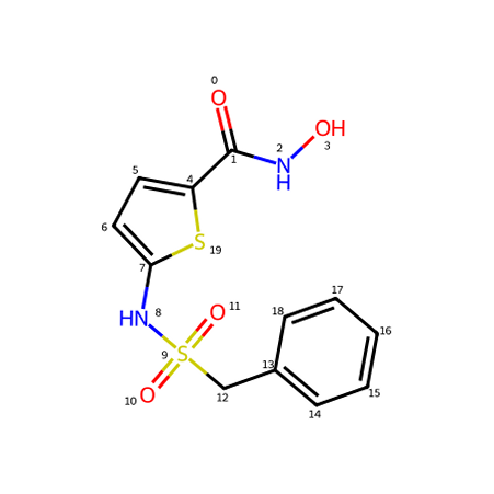 O=C(NO)c1ccc(NS(=O)(=O)Cc2ccccc2)s1